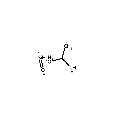 CC(C)O.O=[SiH2]